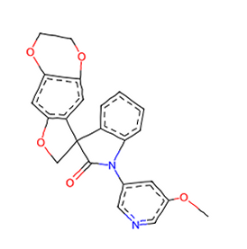 COc1cncc(N2C(=O)C3(COc4cc5c(cc43)OCCO5)c3ccccc32)c1